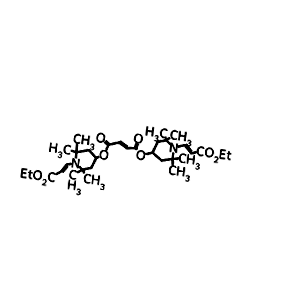 CCOC(=O)C=CN1C(C)(C)CC(OC(=O)C=CC(=O)OC2CC(C)(C)N(C=CC(=O)OCC)C(C)(C)C2)CC1(C)C